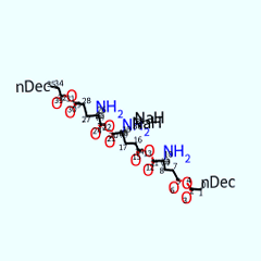 CCCCCCCCCCCC(=O)OC(=O)CC[C@H](N)C(=O)OC(=O)CC[C@H](N)C(=O)OC(=O)[C@@H](N)CCC(=O)OC(=O)CCCCCCCCCCC.[NaH].[NaH]